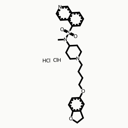 CN(C1CCN(CCCCOc2ccc3c(c2)CCO3)CC1)S(=O)(=O)c1cccc2cnccc12.Cl.Cl